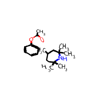 CC(=O)Oc1ccccc1.CC1CC(C)(C)NC(C)(C)C1